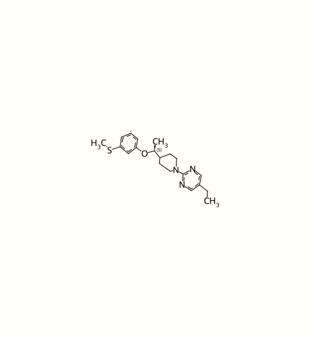 CCc1cnc(N2CCC([C@H](C)Oc3c[c]cc(SC)c3)CC2)nc1